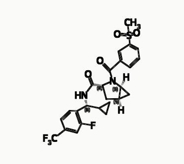 CS(=O)(=O)c1cccc(C(=O)N2[C@@H](C(=O)N[C@@H](c3ccc(C(F)(F)F)cc3F)C3CC3)C[C@@H]3C[C@@H]32)c1